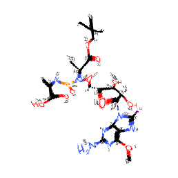 COc1nc(N)nc2c1nc(I)n2[C@@H]1O[C@H](CON([C@@H](C)C(=O)OCC(C)(C)C)/[P+]([O-])=N/C(C)C(=O)O)[C@@H](O)[C@@]1(C)O